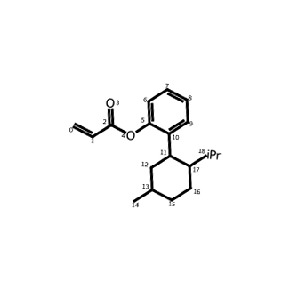 C=CC(=O)Oc1ccccc1C1CC(C)CCC1C(C)C